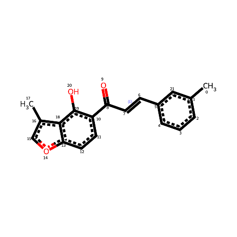 Cc1cccc(/C=C/C(=O)c2ccc3occ(C)c3c2O)c1